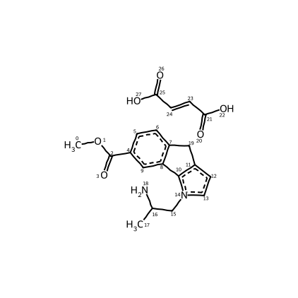 COC(=O)c1ccc2c(c1)-c1c(ccn1CC(C)N)C2.O=C(O)C=CC(=O)O